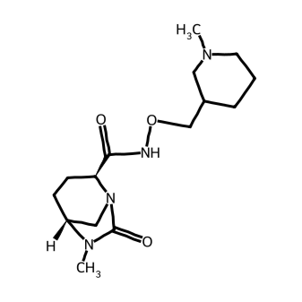 CN1CCCC(CONC(=O)[C@@H]2CC[C@@H]3CN2C(=O)N3C)C1